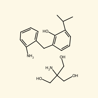 CC(C)c1cccc(Cc2ccccc2N)c1O.NC(CO)(CO)CO